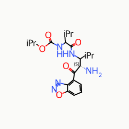 CC(C)OC(=O)NC(C(=O)NC(C(C)C)[C@H](N)C(=O)c1cccc2onnc12)C(C)C